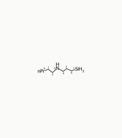 CCCCCNCCC[SiH3]